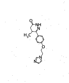 CC1CC(=O)NN=C1c1ccc(OCCn2ccnc2)cc1